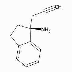 C#CC[C@@]1(N)CCc2ccccc21